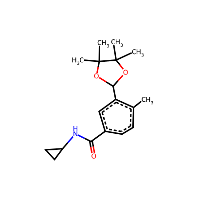 Cc1ccc(C(=O)NC2CC2)cc1C1OC(C)(C)C(C)(C)O1